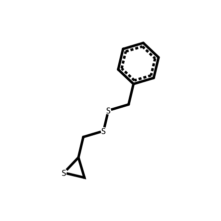 c1ccc(CSSCC2CS2)cc1